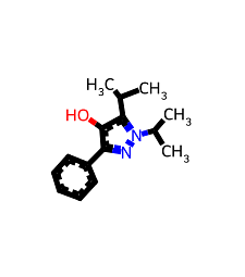 CC(C)c1c(O)c(-c2ccccc2)nn1C(C)C